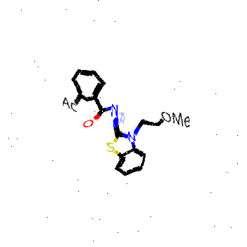 COCCn1/c(=N/C(=O)c2ccccc2C(C)=O)sc2ccccc21